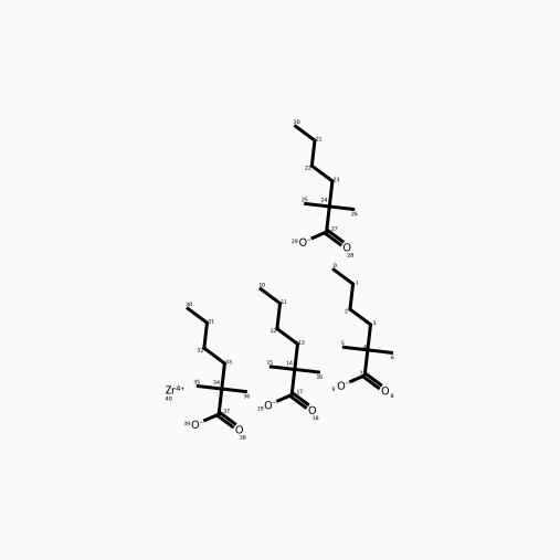 CCCCC(C)(C)C(=O)[O-].CCCCC(C)(C)C(=O)[O-].CCCCC(C)(C)C(=O)[O-].CCCCC(C)(C)C(=O)[O-].[Zr+4]